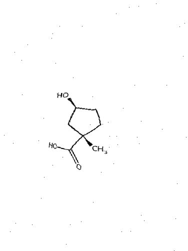 C[C@]1(C(=O)O)CC[C@H](O)C1